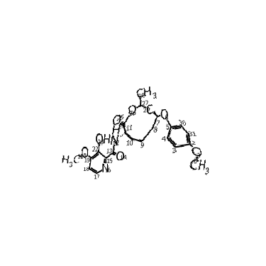 COc1ccc(OC2CCC[C@H](NC(=O)c3nccc(OC)c3O)C(=O)OC(C)C2)cc1